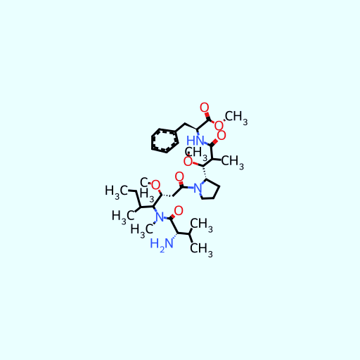 CCC(C)C([C@@H](CC(=O)N1CCC[C@H]1C(OC)C(C)C(=O)N[C@@H](Cc1ccccc1)C(=O)OC)OC)N(C)C(=O)[C@@H](N)C(C)C